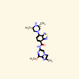 COc1nc(NC(=O)c2ccc(N3C[C@@H](C)N[C@@H](C)C3)c3nsnc23)cn2cc(C)nc12